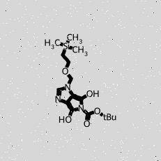 CC(C)(C)OC(=O)n1c(O)c2ncn(COCC[Si](C)(C)C)c2c1O